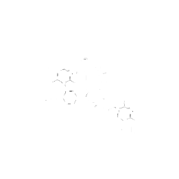 Cc1cn([C@H]2C[C@@H](OC(=O)c3ccc(OCC(C)C)cc3)[C@@H](COP(C)(=O)O[C@@H]3C[C@H](n4cc(C)c(=O)[nH]c4=O)O[C@@H]3CO)O2)c(=O)[nH]c1=O